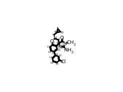 CN1C(=O)C2(C[C@H](CC3CC3)Oc3ccc(-c4cccc(Cl)c4)cc32)N=C1N